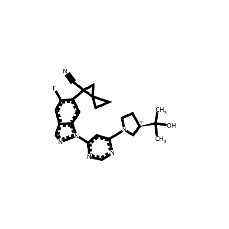 CC(C)(O)[C@@H]1CCN(c2cc(-n3ncc4cc(F)c(C5(C#N)CC56CC6)cc43)ncn2)C1